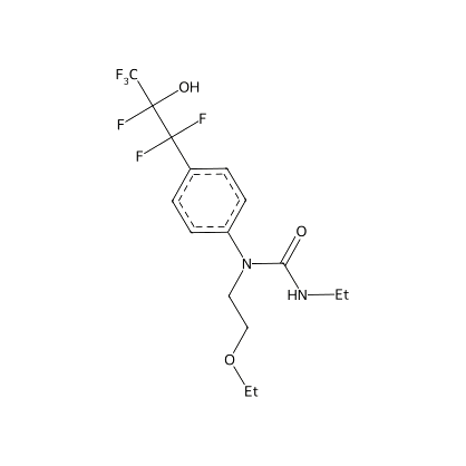 CCNC(=O)N(CCOCC)c1ccc(C(F)(F)C(O)(F)C(F)(F)F)cc1